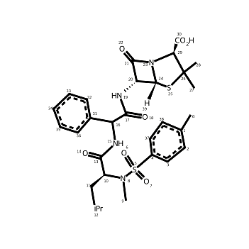 Cc1ccc(S(=O)(=O)N(C)[C@@H](CC(C)C)C(=O)NC(C(=O)N[C@@H]2C(=O)N3[C@@H]2SC(C)(C)[C@@H]3C(=O)O)c2ccccc2)cc1